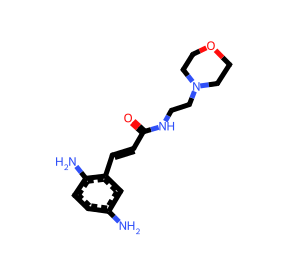 Nc1ccc(N)c(C=CC(=O)NCCN2CCOCC2)c1